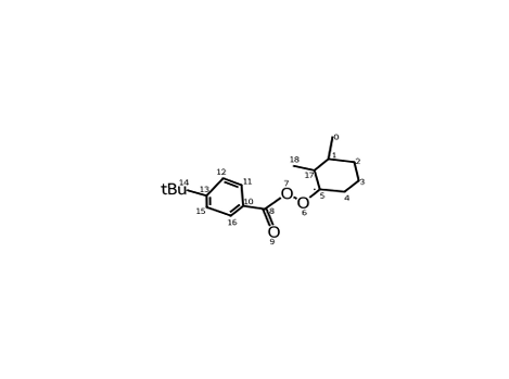 CC1CCC[C](OOC(=O)c2ccc(C(C)(C)C)cc2)C1C